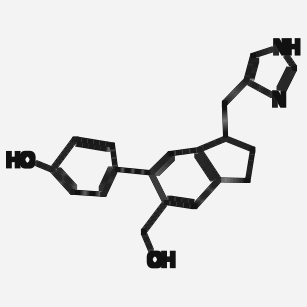 OCc1cc2c(cc1-c1ccc(O)cc1)C(Cc1c[nH]cn1)CC2